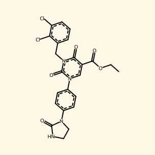 CCOC(=O)c1cn(-c2ccc(N3CCNC3=O)cc2)c(=O)n(Cc2cccc(Cl)c2Cl)c1=O